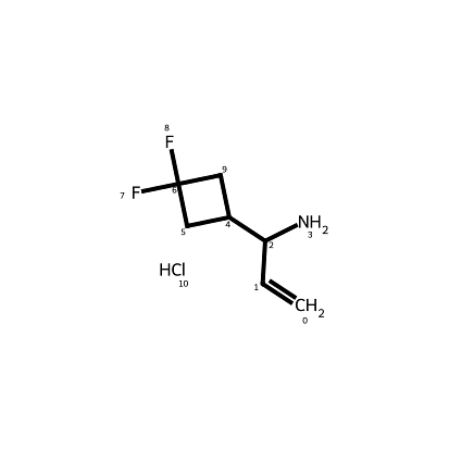 C=CC(N)C1CC(F)(F)C1.Cl